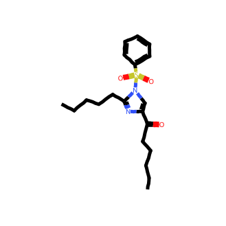 CCCCCC(=O)c1cn(S(=O)(=O)c2ccccc2)c(CCCCC)n1